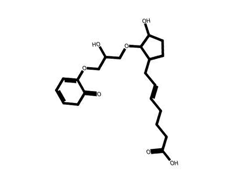 O=C(O)CCCC=CCC1CCC(O)C1OCC(O)COC1=CC=CCC1=O